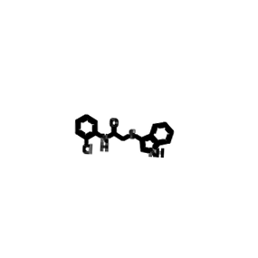 O=C(CSc1c[nH]c2ccccc12)Nc1ccccc1Cl